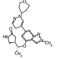 C[C@@H](Oc1cc(C2=CN(C3CCOCC3)N=CC2)cc2nn(C)cc12)[C@H]1CNC(=O)C1